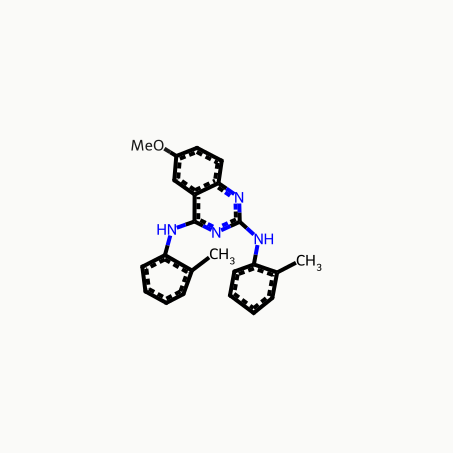 COc1ccc2nc(Nc3ccccc3C)nc(Nc3ccccc3C)c2c1